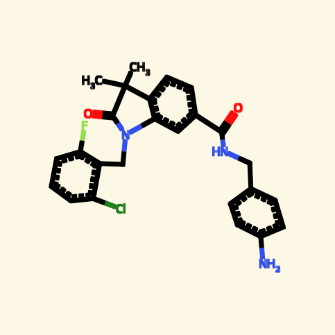 CC1(C)C(=O)N(Cc2c(F)cccc2Cl)c2cc(C(=O)NCc3ccc(N)cc3)ccc21